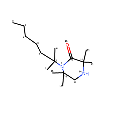 CCCCCC(C)(C)N1C(=O)C(C)(C)NCC1(C)C